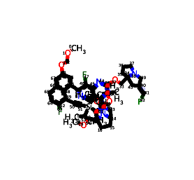 COCOc1cc(-c2ncc3c(N4CC5CCC(COC)(C4)N5C(=O)OC(C)(C)C)nc(OCC45CCCN4C/C(=C/F)C5)nc3c2F)c2c(C#C[Si](C(C)C)(C(C)C)C(C)C)c(F)ccc2c1